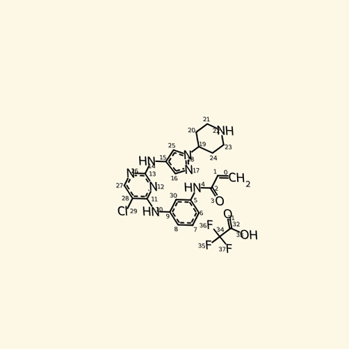 C=CC(=O)Nc1cccc(Nc2nc(Nc3cnn(C4CCNCC4)c3)ncc2Cl)c1.O=C(O)C(F)(F)F